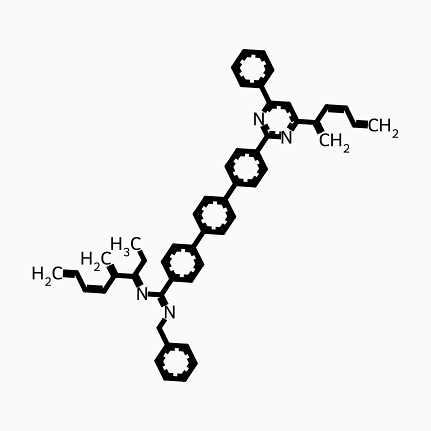 C=C/C=C\C(=C)/C(CC)=N/C(=N\Cc1ccccc1)c1ccc(-c2ccc(-c3ccc(-c4nc(C(=C)/C=C\C=C)cc(-c5ccccc5)n4)cc3)cc2)cc1